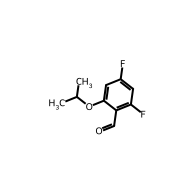 CC(C)Oc1cc(F)cc(F)c1C=O